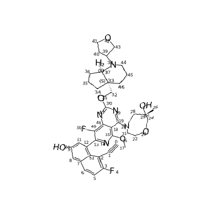 C#Cc1c(F)ccc2cc(O)cc(-c3nc(OC)c4c(N5CCOC[C@@](C)(O)C5)nc(OC[C@]56CCC[C@H]5N(C5CCOC5)CCC6)nc4c3F)c12